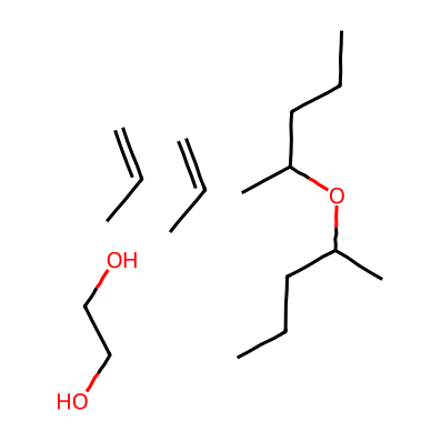 C=CC.C=CC.CCCC(C)OC(C)CCC.OCCO